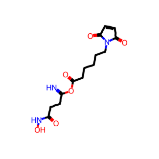 N=C(CCC(=O)NO)OC(=O)CCCCCN1C(=O)C=CC1=O